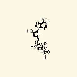 Nc1ncnc2c1ncn2C1OC(COP(=O)(S)OP(=O)(O)OP(=O)(O)O)CC1O